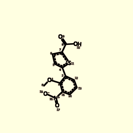 COc1c(-c2ccc(C(=O)O)s2)cccc1[N+](=O)[O-]